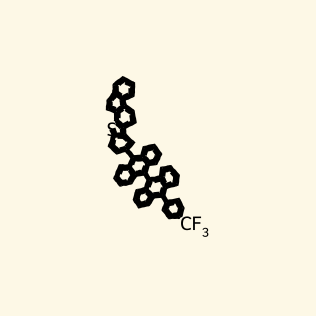 FC(F)(F)c1ccc(-c2c3ccccc3c(-c3c4ccccc4c(-c4ccc5sc6c(ccc7c8ccccc8ccc76)c5c4)c4ccccc34)c3ccccc23)cc1